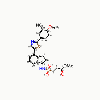 COC(=O)CCS(=O)(=O)N[C@H]1CCc2c(-c3cnc(C4=CCC(OC(C)C)C(C#N)=C4)s3)cccc21